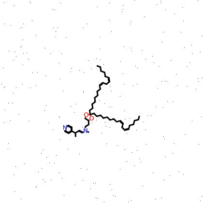 CCCCC/C=C\C/C=C\CCCCCCCCC1(CCCCCCCC/C=C\C/C=C\CCCCC)OCC(CCN(C)/C=C/C(C)c2ccncc2)O1